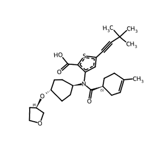 CC1=CC[C@@H](C(=O)N(c2cc(C#CC(C)(C)C)sc2C(=O)O)[C@H]2CC[C@H](O[C@@H]3CCOC3)CC2)CC1